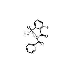 O=C(OC(=O)c1c(F)cccc1S(=O)(=O)O)c1ccccc1